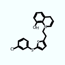 Oc1cccc2c1N(CCc1ccc(Sc3cccc(Cl)c3)s1)C=CC2